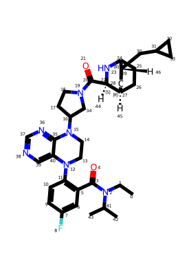 CCN(C(=O)c1cc(F)ccc1N1CCN(C2CCN(C(=O)[C@H]3NC4CC[C@@H]3C[C@H]4CC3CC3)C2)c2ncncc21)C(C)C